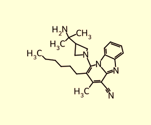 CCCCCCc1c(C)c(C#N)c2nc3ccccc3n2c1N1CC(C(C)(C)N)C1